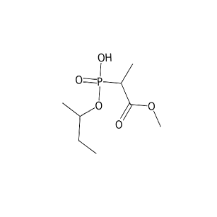 CCC(C)OP(=O)(O)C(C)C(=O)OC